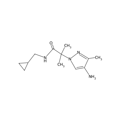 Cc1nn(C(C)(C)C(=O)NCC2CC2)cc1N